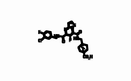 O=C(NCc1ccc(F)c(Cl)c1)c1nc2ccnn2c(C(=O)NCC23CCC(C(=O)O)(CC2)CC3)c1F